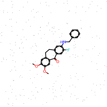 COc1cc2c(cc1OC)C(=O)c1cc(F)c(NCc3ccccc3)cc1CC2